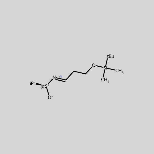 CC(C)[S@+]([O-])/N=C/CCO[Si](C)(C)C(C)(C)C